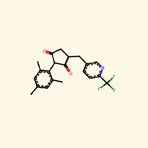 Cc1cc(C)c(C2C(=O)CC(Cc3ccc(C(F)(F)F)nc3)C2=O)c(C)c1